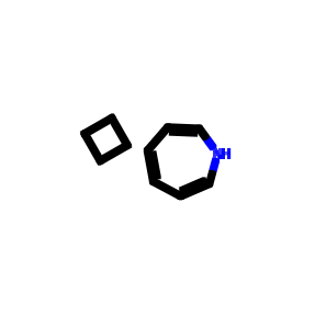 C1=CC=CNC=C1.C1CCC1